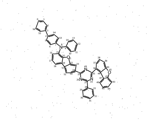 c1ccc(-c2ccc(N(c3ccccc3)c3cccc4c3oc3cc(-c5nc(-c6ccccc6)nc(-c6cccc7oc8ccccc8c67)n5)ccc34)cc2)cc1